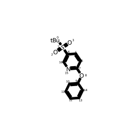 CC(C)(C)S(=O)(=O)c1ccc(Oc2ccccc2)nc1